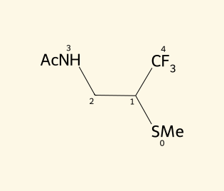 CSC(CNC(C)=O)C(F)(F)F